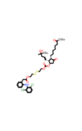 CCCCC(C)(O)C/C=C/[C@H]1[C@H](OC(=O)OCCSSCCOC(=O)Cc2ccccc2Nc2c(Cl)cccc2Cl)CC(=O)[C@@H]1CCCCCCC(=O)OC